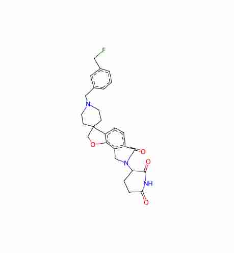 O=C1CCC(N2Cc3c(ccc4c3OCC43CCN(Cc4cccc(CF)c4)CC3)C2=O)C(=O)N1